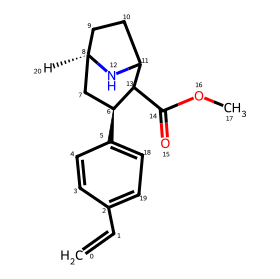 C=Cc1ccc([C@H]2C[C@H]3CCC(N3)C2C(=O)OC)cc1